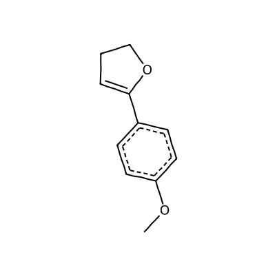 COc1ccc(C2=CCCO2)cc1